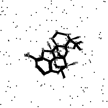 CN1CC[C@]23c4c5ccc(O)c4O[C@H]2[C@@]24CCC3(C[C@@H]2[C@@](C)(C(C)(C)C)OCO4)[C@H]1C5